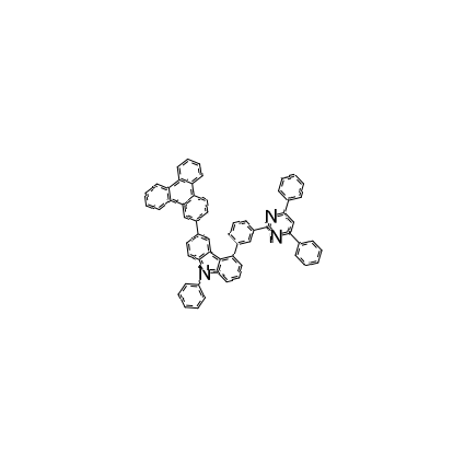 c1ccc(-c2cc(-c3ccccc3)nc(-c3cccc(-c4cccc5c4c4cc(-c6ccc7c8ccccc8c8ccccc8c7c6)ccc4n5-c4ccccc4)c3)n2)cc1